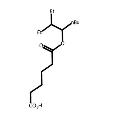 CCCCC(OC(=O)CCCCC(=O)O)C(CC)CC